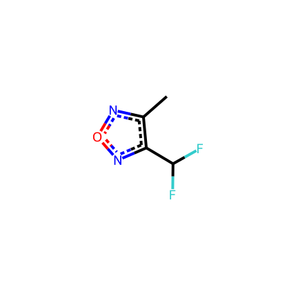 Cc1nonc1C(F)F